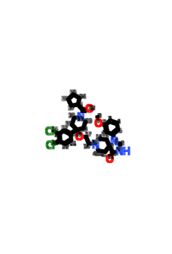 COc1cccc(N2CNC(=O)C23CCN(CCOC2(c4ccc(Cl)c(Cl)c4)CCN(C(=O)C4CCCC4)CC2)CC3)c1